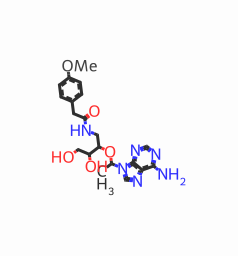 COc1ccc(CC(=O)NCC(OC(C)n2cnc3c(N)ncnc32)C(O)CO)cc1